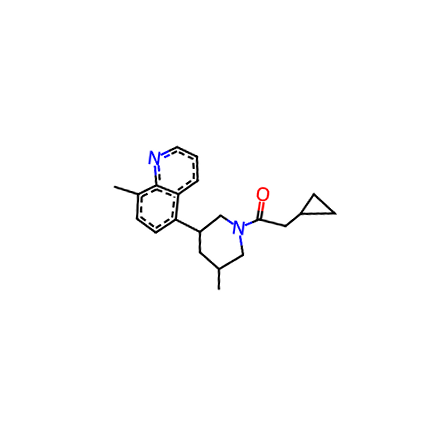 Cc1ccc(C2CC(C)CN(C(=O)CC3CC3)C2)c2cccnc12